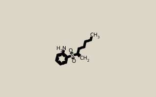 C=C(CCCCC)S(=O)(=O)c1ccccc1N